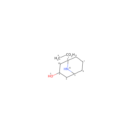 CC(=O)O.OC1CC2CCCC(C1)N2